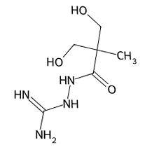 CC(CO)(CO)C(=O)NNC(=N)N